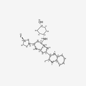 Cc1nc2ccccc2nc1-c1cc2nc(N3CC[C@@H](F)C3)cc(N[C@H]3CC[C@@H](O)CC3)n2n1